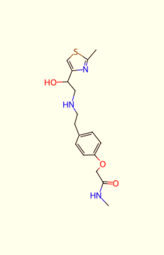 CNC(=O)COc1ccc(CCNCC(O)c2csc(C)n2)cc1